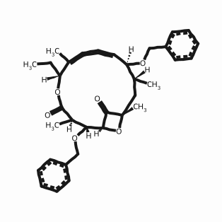 CC[C@H]1OC(=O)[C@H](C)[C@@H](OCc2ccccc2)[C@@H]2O[C@@](C)(C[C@@H](C)[C@H](OCc3ccccc3)C=C=C=C1C)C2=O